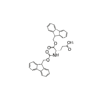 O=C(O)CC[C@H](NC(=O)OCC1c2ccccc2-c2ccccc21)C(=O)OCC1c2ccccc2-c2ccccc21